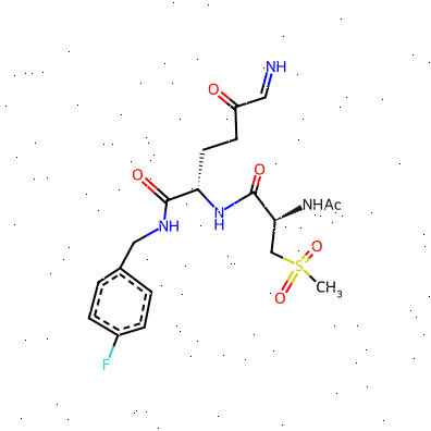 CC(=O)N[C@@H](CS(C)(=O)=O)C(=O)N[C@@H](CCC(=O)C=N)C(=O)NCc1ccc(F)cc1